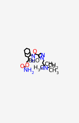 C=C(C)NC(C)(C)CCn1ncc(C(=O)N[C@H]2C3CCCC(C3)CC2CCOC(N)=O)c1OCC(C)C